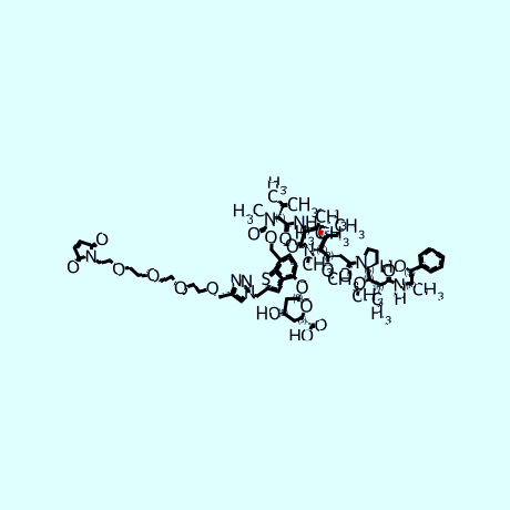 CC[C@H](C)[C@@H]([C@@H](CC(=O)N1CCC[C@H]1[C@H](OC)[C@@H](C)C(=O)N[C@H](C)[C@@H](O)c1ccccc1)OC)N(C)C(=O)[C@@H](NC(=O)[C@H](C(C)C)N(C)C(=O)OCc1ccc(O[C@H]2C[C@@H](O)C[C@@H](C(=O)O)O2)c2cc(Cn3cc(COCCOCCOCCOCCN4C(=O)C=CC4=O)nn3)sc12)C(C)C